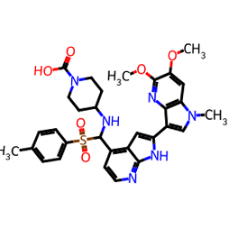 COc1cc2c(nc1OC)c(-c1cc3c(C(NC4CCN(C(=O)O)CC4)S(=O)(=O)c4ccc(C)cc4)ccnc3[nH]1)cn2C